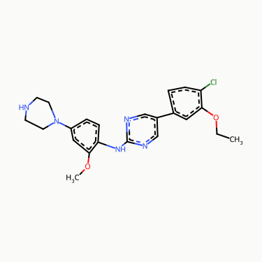 CCOc1cc(-c2cnc(Nc3ccc(N4CCNCC4)cc3OC)nc2)ccc1Cl